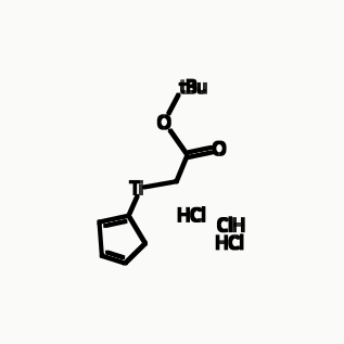 CC(C)(C)OC(=O)[CH2][Ti][C]1=CC=CC1.Cl.Cl.Cl